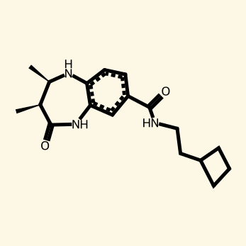 C[C@@H]1C(=O)Nc2cc(C(=O)NCCC3CCC3)ccc2N[C@@H]1C